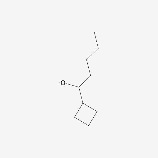 CCCCC([O])C1CCC1